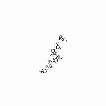 CN(C)CCOc1cc(F)cc(-c2cccc3[nH]c(-c4n[nH]c5ccc(-c6cncc(NC(=O)CC7CCNCC7)c6)nc45)cc23)c1